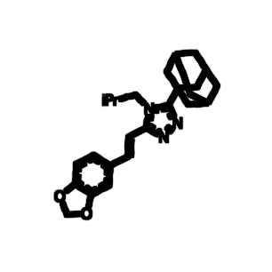 CC(C)Cn1c(/C=C/c2ccc3c(c2)OCO3)nnc1C12CC3CC(CC(C3)C1)C2